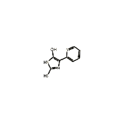 Oc1[nH]c(S)nc1-c1ccccn1